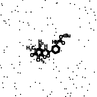 Cn1c(N)c(NC(=O)[C@@H]2CCC[C@H](NC(=O)OC(C)(C)C)C2)c(=O)n(C)c1=O